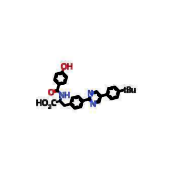 CC(C)(C)c1ccc(-c2cnc(-c3ccc(C[C@H](NC(=O)c4ccc(O)cc4)C(=O)O)cc3)nc2)cc1